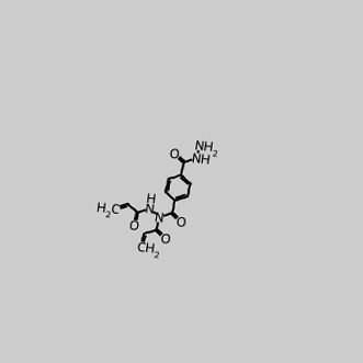 C=CC(=O)NN(C(=O)C=C)C(=O)c1ccc(C(=O)NN)cc1